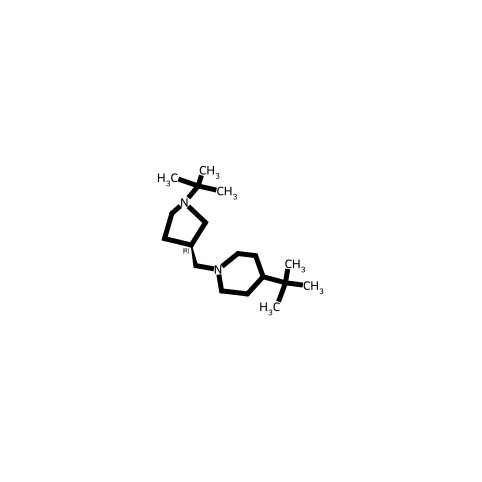 CC(C)(C)C1CCN(C[C@H]2CCN(C(C)(C)C)C2)CC1